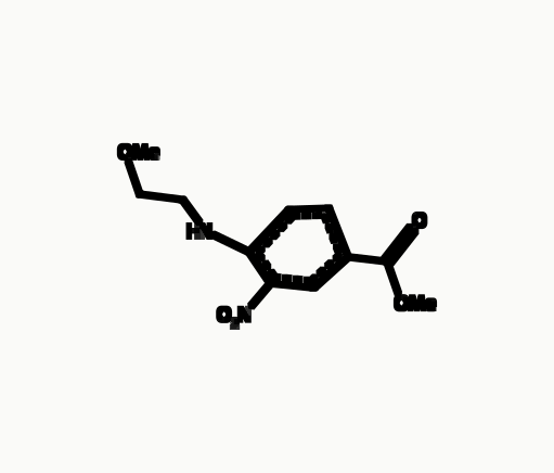 COCCNc1ccc(C(=O)OC)cc1[N+](=O)[O-]